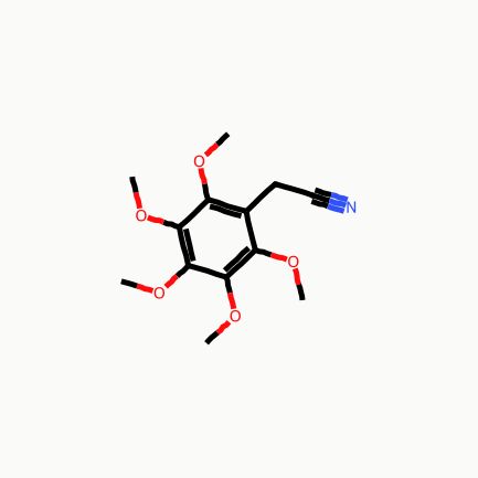 COc1c(CC#N)c(OC)c(OC)c(OC)c1OC